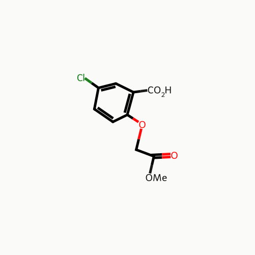 COC(=O)COc1ccc(Cl)cc1C(=O)O